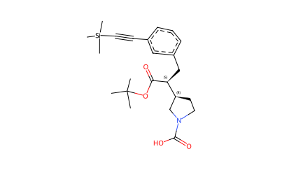 CC(C)(C)OC(=O)[C@@H](Cc1cccc(C#C[Si](C)(C)C)c1)[C@H]1CCN(C(=O)O)C1